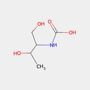 CC(O)C(CO)NC(=O)O